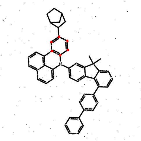 CC1(C)c2cc(N(c3ccc(C4CC5CCC4C5)cc3)c3cccc4cccc(C5CCCCC5)c34)ccc2-c2c(-c3ccc(-c4ccccc4)cc3)cccc21